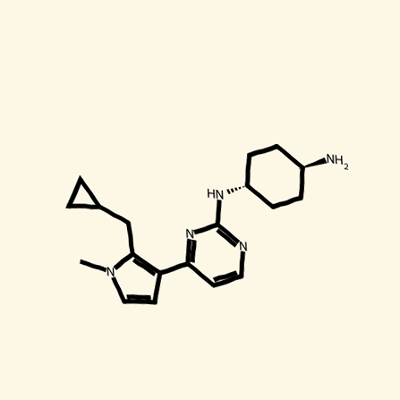 Cn1ccc(-c2ccnc(N[C@H]3CC[C@H](N)CC3)n2)c1CC1CC1